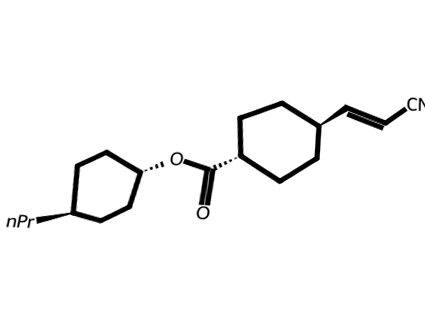 CCC[C@H]1CC[C@H](OC(=O)[C@H]2CC[C@H](C=CC#N)CC2)CC1